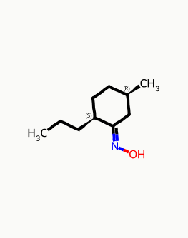 CCC[C@H]1CC[C@@H](C)CC1=NO